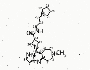 CN1CCc2nc3ccnn3c(N3CC(C(=O)NCCCN4CCCC4)C3)c2CC1